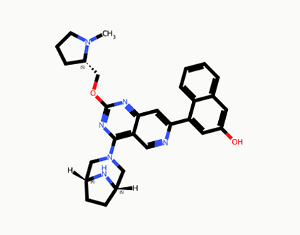 CN1CCC[C@H]1COc1nc(N2C[C@H]3CC[C@@H](C2)N3)c2cnc(-c3cc(O)cc4ccccc34)cc2n1